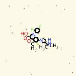 CN[C@H](C)[C@@H]1CCN(c2cc3c(c(C)c2F)c(=O)c(C(=O)O)cn3-c2ccc(F)cc2F)C1